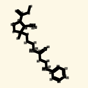 C=C(CC)C1OCC(C)(CCCNC(=O)CCNc2ccncc2)C1N